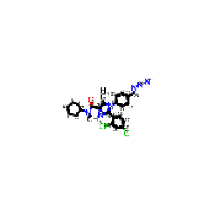 Cc1c(C(=O)N(C)C2CCCCC2)nc(-c2ccc(Cl)cc2Cl)n1-c1ccc(CN=[N+]=[N-])cc1